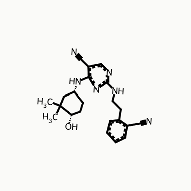 CC1(C)C[C@H](Nc2nc(NCCc3ccccc3C#N)ncc2C#N)CC[C@@H]1O